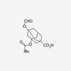 CCC(C)C(=O)OC12CC3CC(OC=O)(C1)CC(C(=O)O)(C3)C2